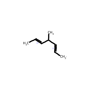 [CH2]/C=C/C(C)/C=C/C